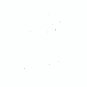 c1ccc(-c2cc(-c3ccccc3)cc(-c3cccc(-n4c5ccccc5c5cc(-c6ccc7c(c6)c6ccc8c(c6n7-c6nc(-c7ccccc7)nc(-c7ccccc7)n6)-c6ccccc6C86c7ccccc7-c7ccccc76)ccc54)c3)c2)cc1